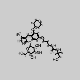 CC(C)c1[nH]nc(O[C@@H]2O[C@H](CO)[C@@H](O)[C@H](O)[C@H]2O)c1Cc1ccc(OCCCNC(=O)NC(C)(C)CO)cc1OC1CCOCC1